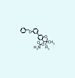 CC1(C)COc2cc(-c3cccc(OCc4ccccc4)c3)ccc2C1OC(N)=O